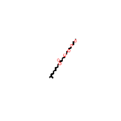 COCCOCCOCCOCCCC(=O)OCCCCCCCC(C)C